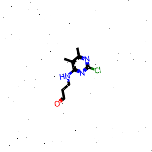 Cc1nc(Cl)nc(NCCC=O)c1C